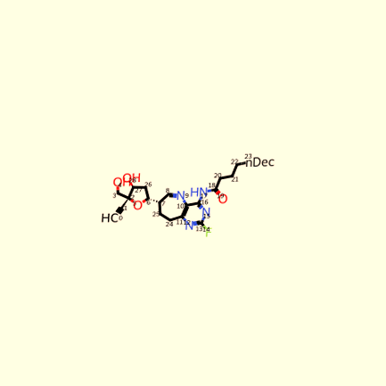 C#C[C@]1(CO)O[C@@H](C2C=Nc3c(nc(F)nc3NC(=O)CCCCCCCCCCCCC)CC2)C[C@@H]1O